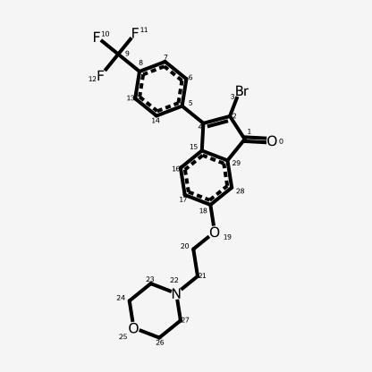 O=C1C(Br)=C(c2ccc(C(F)(F)F)cc2)c2ccc(OCCN3CCOCC3)cc21